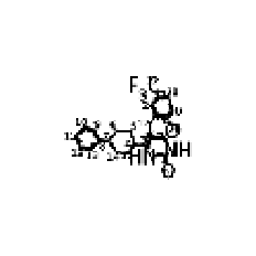 O=c1[nH]c(C2CCC(c3ccccc3)CC2)c(Cc2cccc(C(F)(F)F)c2)c(=O)[nH]1